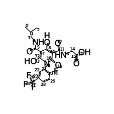 CC(C)CNC(=O)c1c(O)c(C(=O)NCC(=O)O)c(=O)n(-c2cc(C(F)(F)F)ccc2F)c1O